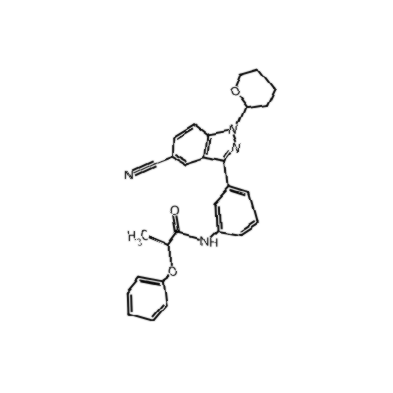 CC(Oc1ccccc1)C(=O)Nc1cccc(-c2nn(C3CCCCO3)c3ccc(C#N)cc23)c1